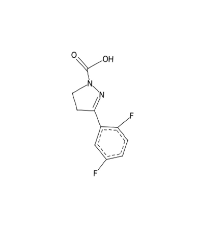 O=C(O)N1CCC(c2cc(F)ccc2F)=N1